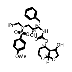 COc1ccc(S(=O)(=O)N(CC(C)C)C[C@@H](O)[C@H](Cc2ccccc2)NC(=O)O[C@H]2CCO[C@H]3OCC(O)C32)cc1